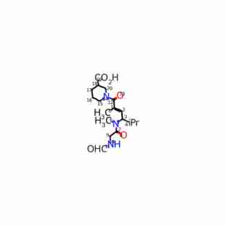 C/C(=C\C(C(C)C)N(C)C(=O)CNC=O)C(=O)N1CCCC(C(=O)O)C1